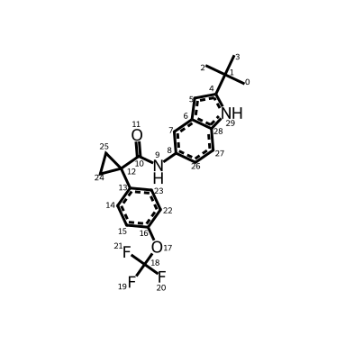 CC(C)(C)c1cc2cc(NC(=O)C3(c4ccc(OC(F)(F)F)cc4)CC3)ccc2[nH]1